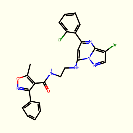 Cc1onc(-c2ccccc2)c1C(=O)NCCNc1cc(-c2ccccc2Cl)nc2c(Br)cnn12